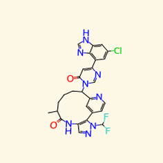 CC1CCCC(n2cnc(-c3cc(Cl)cc4[nH]cnc34)cc2=O)c2cc(ccn2)-c2c(cnn2C(F)F)NC1=O